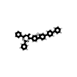 C=C1C=C(c2ccccc2)N=C(c2ccccc2)N=C1c1ccc2c(c1)oc1cc(-c3ccc(-c4ccccc4)cc3)ccc12